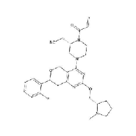 C=CC(=O)N1CCN(c2nc(OC[C@@H]3CCCN3C)nc3c2COC(c2ccccc2F)C3)C[C@@H]1CC#N